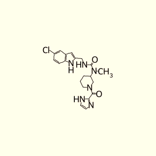 CN(C(=O)NCc1cc2cc(Cl)ccc2[nH]1)C1CCCN(C(=O)c2ncc[nH]2)C1